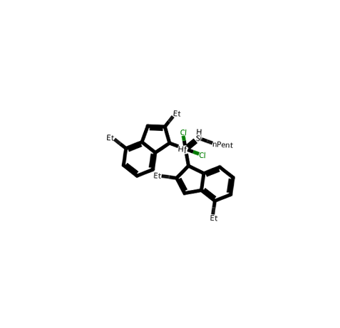 CCCCC[SiH]=[Hf]([Cl])([Cl])([CH]1C(CC)=Cc2c(CC)cccc21)[CH]1C(CC)=Cc2c(CC)cccc21